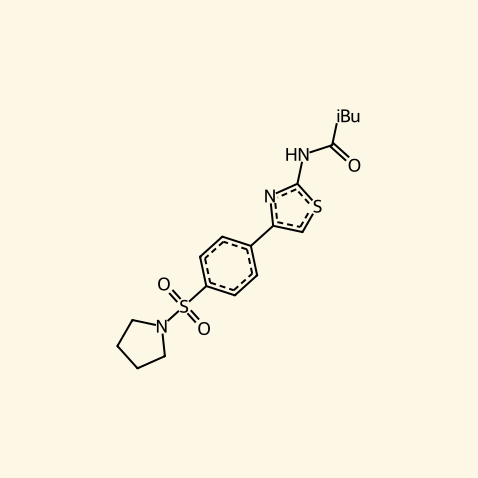 CCC(C)C(=O)Nc1nc(-c2ccc(S(=O)(=O)N3CCCC3)cc2)cs1